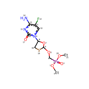 CCOP(=O)(COC1OC(n2cc(F)c(N)nc2=O)CS1)OCC